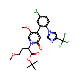 COCCC(C(=O)OC(C)(C)C)n1cc(OC)c(-c2cc(Cl)ccc2-n2cnc(C(F)(F)F)c2)cc1=O